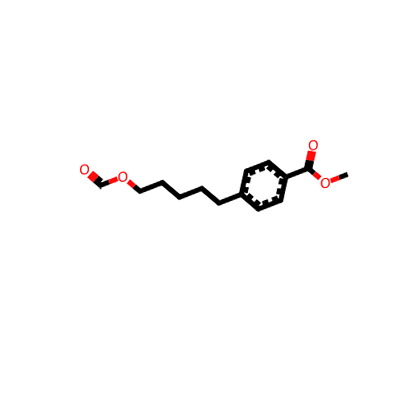 COC(=O)c1ccc(CCCCCO[C]=O)cc1